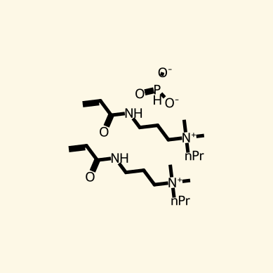 C=CC(=O)NCCC[N+](C)(C)CCC.C=CC(=O)NCCC[N+](C)(C)CCC.O=[PH]([O-])[O-]